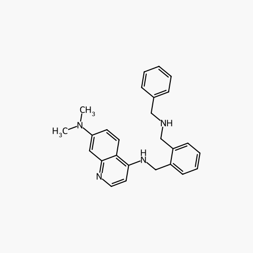 CN(C)c1ccc2c(NCc3ccccc3CNCc3ccccc3)ccnc2c1